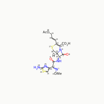 CON=C(C(=O)N[C@@H]1C(=O)N2C(C(=O)O)=C(C=CCOC(C)=O)SC[C@H]12)c1csc(N)n1